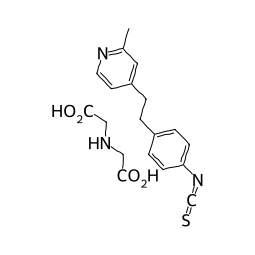 Cc1cc(CCc2ccc(N=C=S)cc2)ccn1.O=C(O)CNCC(=O)O